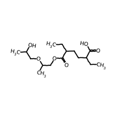 CCC(CCC(CC)C(=O)OCC(C)OCC(C)O)C(=O)O